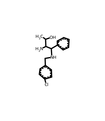 CC(O)C(N)C(NCc1ccc(Cl)cc1)c1ccccc1